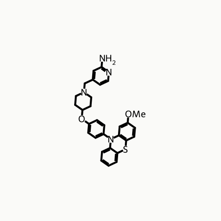 COc1ccc2c(c1)N(c1ccc(OC3CCN(Cc4ccnc(N)c4)CC3)cc1)c1ccccc1S2